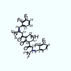 CN(C)/C(=C/c1cccc(F)c1F)CC(=O)C1CNCC(C(=O)C/C(=C\c2cccc(F)c2F)N(C)C)C1=O